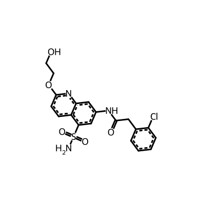 NS(=O)(=O)c1cc(NC(=O)Cc2ccccc2Cl)cc2nc(OCCO)ccc12